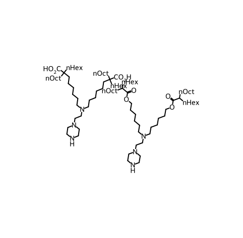 CCCCCCCCC(CCCCCC)(CCCCCCN(CCCCCCC(CCCCCC)(CCCCCCCC)C(=O)O)CCN1CCNCC1)C(=O)O.CCCCCCCCC(CCCCCC)C(=O)OCCCCCCN(CCCCCCOC(=O)C(CCCCCC)CCCCCCCC)CCN1CCNCC1